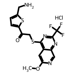 COc1cc2c(SCC(=O)c3ccc(CN)s3)nc(C(F)(F)F)nc2cn1.Cl